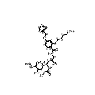 CCCCNC(=O)C(CC(O)C(CC(CNC(=O)c1ccc(OCc2nnn[nH]2)cc1OCCCCOC)C(C)C)NC(=O)OC(C)(C)C)C(C)C